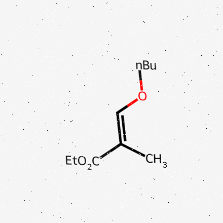 CCCCOC=C(C)C(=O)OCC